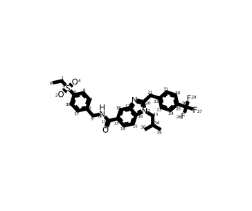 CCS(=O)(=O)c1ccc(CNC(=O)c2ccc3c(c2)nc(Cc2ccc(C(F)(F)F)cc2)n3CC(C)C)cc1